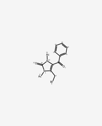 CC(=O)n1c(CBr)c(C(=O)c2ccccc2)n(C(C)=O)c1=O